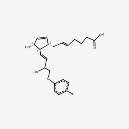 O=C(O)CCCC=CC[C@H]1C=C[C@@H](O)[C@@H]1C=CC(O)COc1ccc(F)cc1